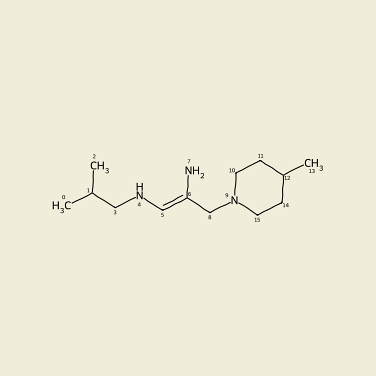 CC(C)CN/C=C(\N)CN1CCC(C)CC1